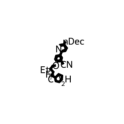 CCCCCCCCCCc1ccc(-c2ccc(OCC(CC)C[C@@](F)(C(=O)O)C3CCCCC3)c(C#N)c2)nc1